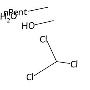 CCCCCC.CO.ClC(Cl)Cl.O